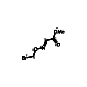 COC(=O)C=NOCBr